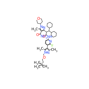 Cc1nn(COCC[Si](C)(C)C)c(C)c1-c1ccc(NC(=O)C(c2nn(C3CCOCC3)c(C)c2C(N)=O)C(C2CCCCC2)C2CCCCC2)nc1F